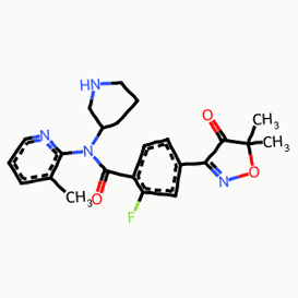 Cc1cccnc1N(C(=O)c1ccc(C2=NOC(C)(C)C2=O)cc1F)C1CCCNC1